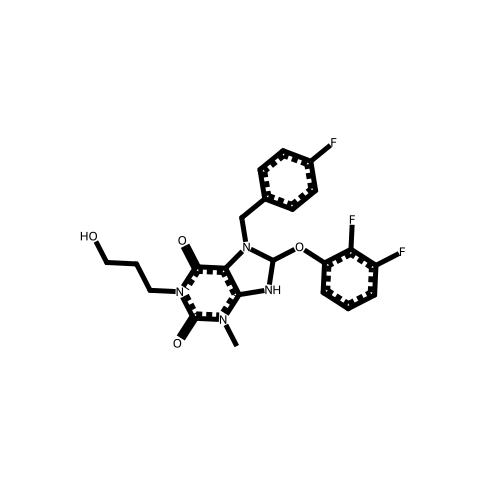 Cn1c2c(c(=O)n(CCCO)c1=O)N(Cc1ccc(F)cc1)C(Oc1cccc(F)c1F)N2